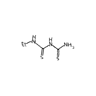 CCNC(=S)NC(N)=S